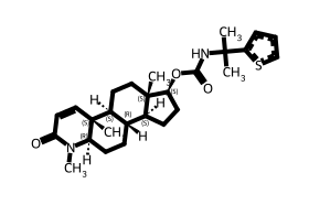 CN1C(=O)C=C[C@]2(C)[C@H]3CC[C@]4(C)[C@@H](OC(=O)NC(C)(C)c5cccs5)CC[C@H]4[C@@H]3CC[C@@H]12